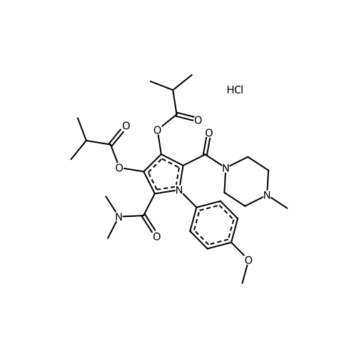 COc1ccc(-n2c(C(=O)N(C)C)c(OC(=O)C(C)C)c(OC(=O)C(C)C)c2C(=O)N2CCN(C)CC2)cc1.Cl